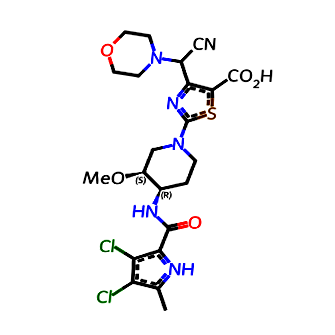 CO[C@H]1CN(c2nc(C(C#N)N3CCOCC3)c(C(=O)O)s2)CC[C@H]1NC(=O)c1[nH]c(C)c(Cl)c1Cl